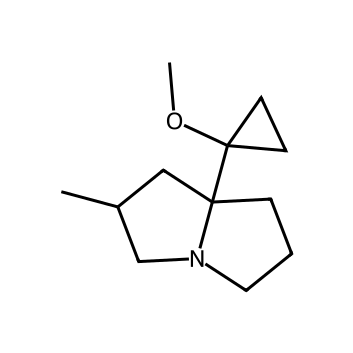 COC1(C23CCCN2CC(C)C3)CC1